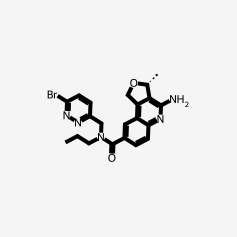 CCCN(Cc1ccc(Br)nn1)C(=O)c1ccc2nc(N)c3c(c2c1)CO[C@@H]3C